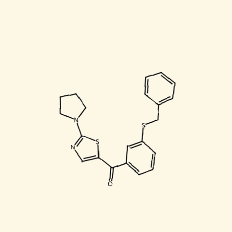 O=C(c1cccc(SCc2ccccc2)c1)c1cnc(N2CCCC2)s1